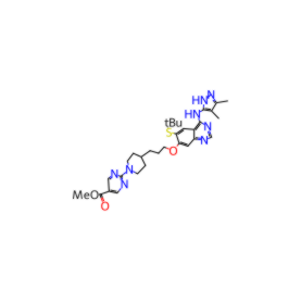 COC(=O)c1cnc(N2CCC(CCCOc3cc4ncnc(Nc5[nH]nc(C)c5C)c4cc3SC(C)(C)C)CC2)nc1